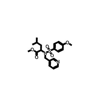 COC(=O)C(CC(C)C)N(Cc1cccnc1)S(=O)(=O)c1ccc(OC)cc1